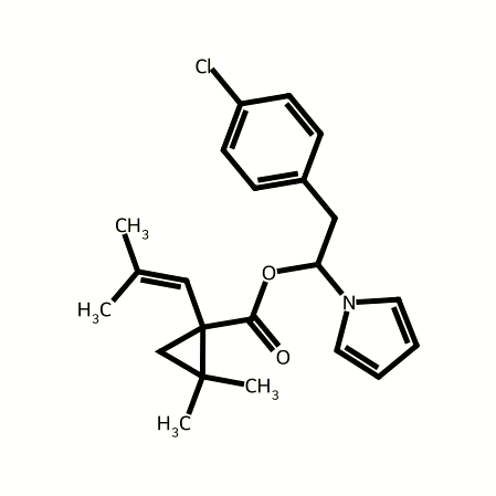 CC(C)=CC1(C(=O)OC(Cc2ccc(Cl)cc2)n2cccc2)CC1(C)C